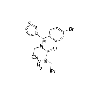 CC(C)C[C@H](N)C(=O)N(CC#N)[C@@H](c1ccc(Br)cc1)c1ccsc1